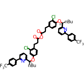 CCCC[C@H](Oc1ccc(CCC(=O)OC(=O)CCc2ccc(O[C@@H](CCCC)c3cccc(-c4ccc(C(F)(F)F)cc4)n3)c(Cl)c2)c(Cl)c1)c1cccc(-c2ccc(C(F)(F)F)cc2)n1